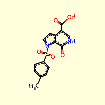 Cc1ccc(S(=O)(=O)n2ccc3c(C(=O)O)c[nH]c(=O)c32)cc1